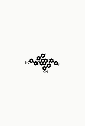 N#Cc1cccc(-c2ccc(F)c(N(c3cc(-c4ccc(F)cc4)ccc3F)c3ccc4ccc5c(N(c6cc(-c7ccc(F)cc7)ccc6F)c6cc(-c7cccc(C#N)c7)ccc6F)ccc6ccc3c4c65)c2)c1